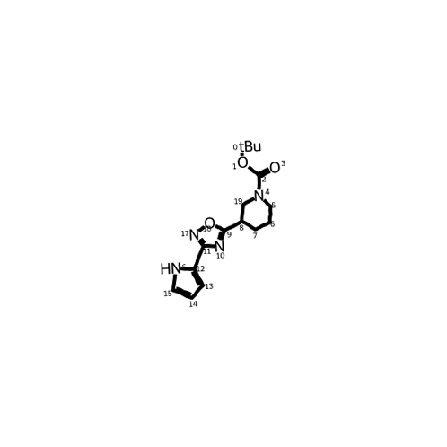 CC(C)(C)OC(=O)N1CCCC(c2nc(-c3ccc[nH]3)no2)C1